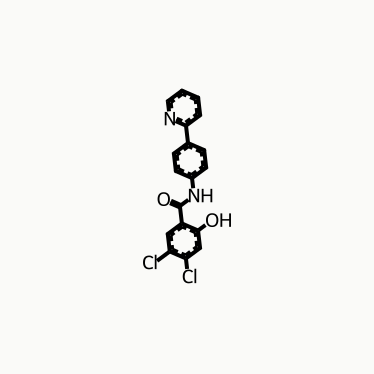 O=C(Nc1ccc(-c2ccccn2)cc1)c1cc(Cl)c(Cl)cc1O